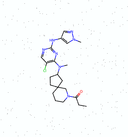 CCC(=O)N1CCCC2(CCC(N(C)c3nc(Nc4cnn(C)c4)ncc3Cl)C2)C1